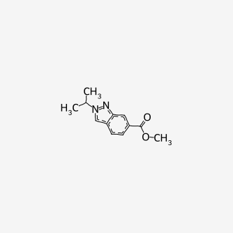 COC(=O)c1ccc2cn(C(C)C)nc2c1